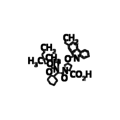 C=CCC(C)(C)COC(=O)N[C@H](C(=O)N1C[C@H](Oc2nc3ccccc3c3ccc(C=C)cc23)C[C@H]1C(=O)O)C1CCCCC1